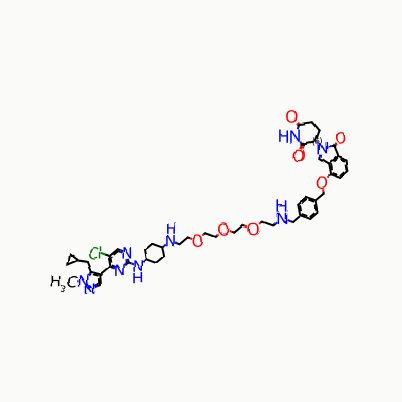 Cn1ncc(-c2nc(NC3CCC(NCCOCCOCCOCCNCc4ccc(COc5cccc6c5CN([C@H]5CCC(=O)NC5=O)C6=O)cc4)CC3)ncc2Cl)c1CC1CC1